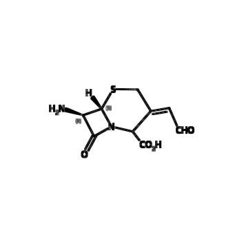 N[C@@H]1C(=O)N2C(C(=O)O)C(=CC=O)CS[C@@H]12